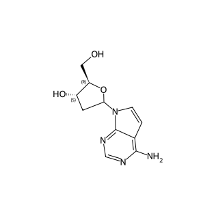 Nc1ncnc2c1ccn2C1C[C@H](O)[C@@H](CO)O1